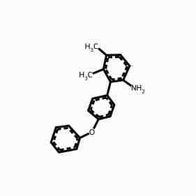 Cc1c[c]c(N)c(-c2ccc(Oc3ccccc3)cc2)c1C